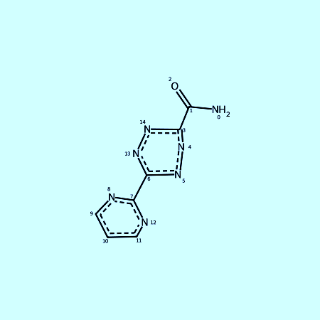 NC(=O)c1nnc(-c2ncccn2)nn1